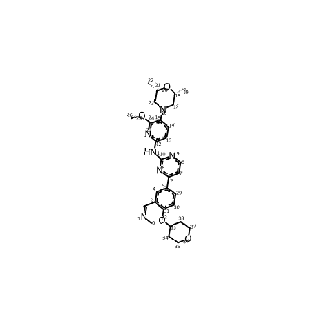 C/N=C\c1cc(-c2ccnc(Nc3ccc(N4C[C@@H](C)O[C@@H](C)C4)c(OC)n3)n2)ccc1OC1CCOCC1